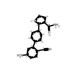 N#Cc1ccc(N)cc1-c1ccc(-c2sccc2C(N)=O)cc1